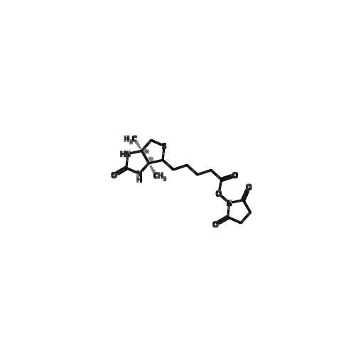 C[C@]12CSC(CCCCC(=O)ON3C(=O)CCC3=O)[C@@]1(C)NC(=O)N2